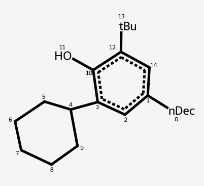 CCCCCCCCCCc1cc(C2CCCCC2)c(O)c(C(C)(C)C)c1